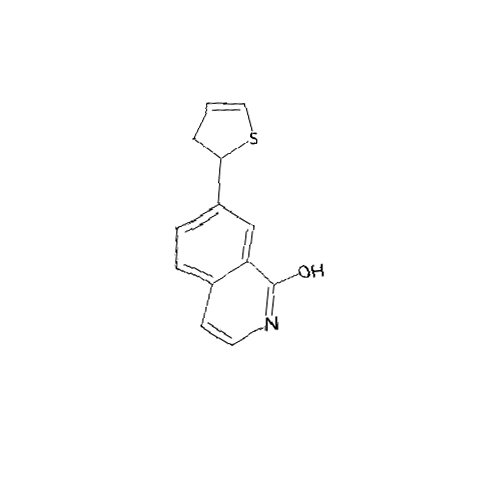 Oc1nccc2ccc(C3CC=CS3)cc12